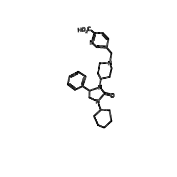 O=C(O)c1ccc(CN2CCC(N3C(=O)N(C4CCCCC4)CC3c3ccccc3)CC2)cn1